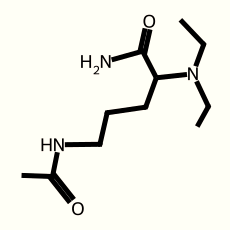 CCN(CC)C(CCCNC(C)=O)C(N)=O